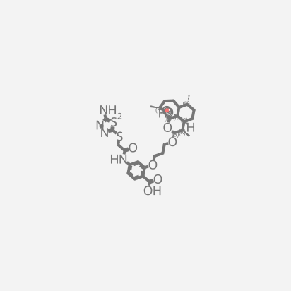 C[C@H]1[C@@H](OCCCOc2cc(NC(=O)CSc3nnc(N)s3)ccc2C(=O)O)O[C@@H]2O[C@@]3(C)CCC4[C@H](C)CC[C@@H]1[C@]42OO3